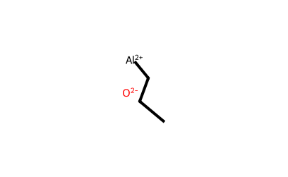 CC[CH2][Al+2].[O-2]